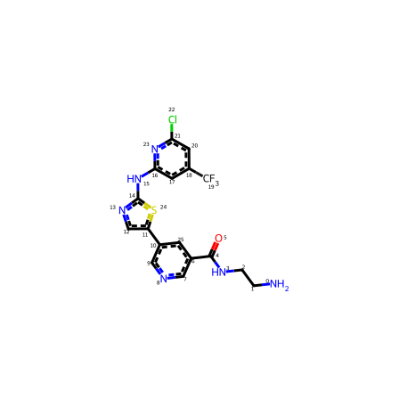 NCCNC(=O)c1cncc(-c2cnc(Nc3cc(C(F)(F)F)cc(Cl)n3)s2)c1